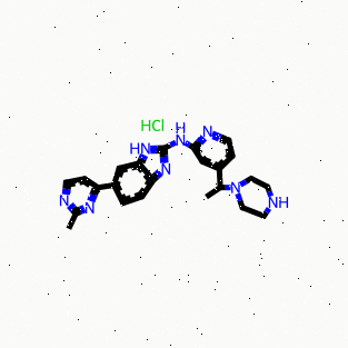 Cc1nccc(-c2ccc3nc(Nc4cc(C(C)N5CCNCC5)ccn4)[nH]c3c2)n1.Cl